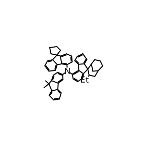 CCC1CC2CCCC(C2)C12c1ccccc1-c1c(N(c3ccc4c(c3)-c3ccccc3C4(C)C)c3cccc4c3-c3ccccc3C43CCCC3)cccc12